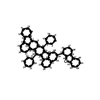 c1ccc(-c2c3cc4c5ccccc5c5cccc(c3c(-c3ccccc3)c3c6cccc7cc(-c8cccc9c8oc8ccccc89)cc(c23)c76)c54)cc1